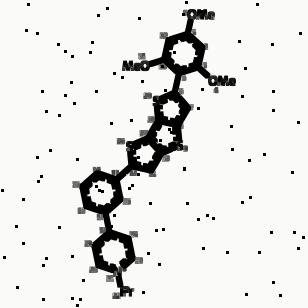 COc1cc(OC)c(-c2cc3sc4cc(-c5cccc(-c6cc[n+](C(C)C)cc6)c5)sc4c3s2)c(OC)c1